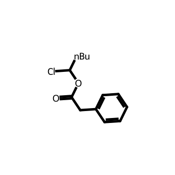 CCCCC(Cl)OC(=O)Cc1ccccc1